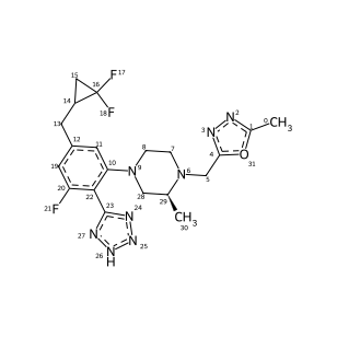 Cc1nnc(CN2CCN(c3cc(CC4CC4(F)F)cc(F)c3-c3nn[nH]n3)C[C@@H]2C)o1